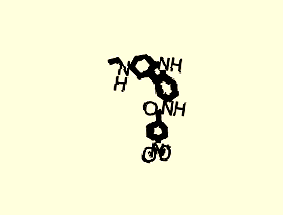 CCNC1CCc2[nH]c3ccc(NC(=O)c4ccc([N+](=O)[O-])cc4)cc3c2C1